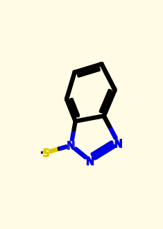 [S]n1nnc2ccccc21